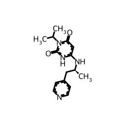 CC(C)n1c(=O)cc(N[C@@H](C)Cc2ccncc2)[nH]c1=O